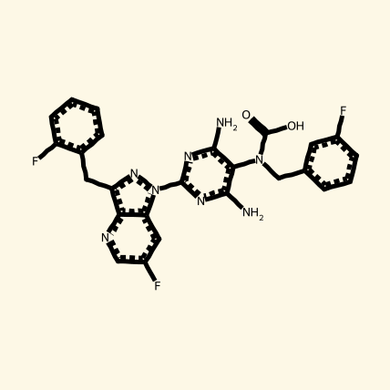 Nc1nc(-n2nc(Cc3ccccc3F)c3ncc(F)cc32)nc(N)c1N(Cc1cccc(F)c1)C(=O)O